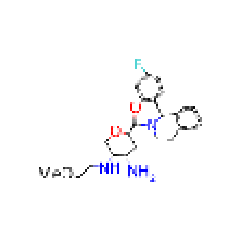 COCCN[C@@H]1CO[C@@H](C(=O)N2CCc3ccccc3[C@@H]2c2ccc(F)cc2)C[C@@H]1N